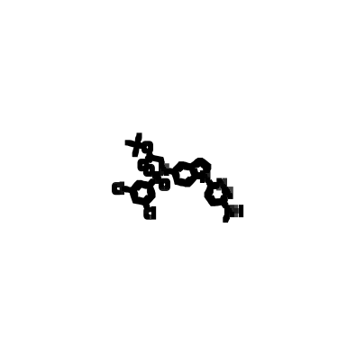 CNc1ccc(-n2ccc3cc(N(CC(=O)OC(C)(C)C)S(=O)(=O)c4cc(Cl)cc(Cl)c4)ccc32)nn1